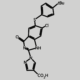 CC(C)(C)c1ccc(Sc2cc3c(=O)nc(-n4cc(C(=O)O)cn4)[nH]c3cc2Cl)cc1